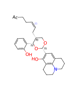 CC(=O)CC/C=C\C[C@@H]1CO[C@H](c2cc3c4c(c2O)CCCN4CCC3)O[C@@H]1c1ccccc1O